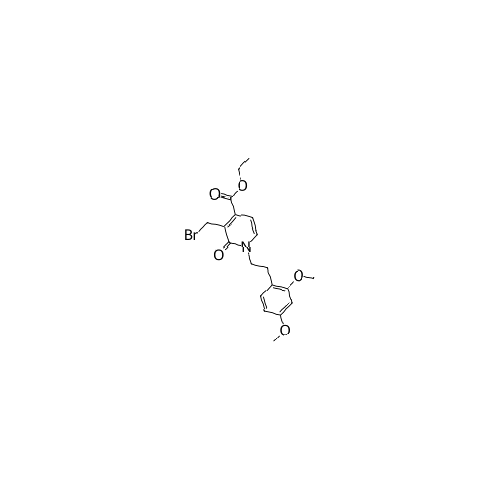 CCOC(=O)c1ccn(CCc2ccc(OC)cc2OC)c(=O)c1CBr